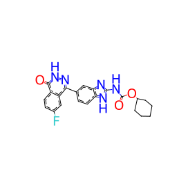 O=C(Nc1nc2cc(-c3n[nH]c(=O)c4ccc(F)cc34)ccc2[nH]1)OC1CCCCC1